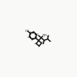 CC(C)C(C)C(C)(N)C1(c2ccc(Cl)cc2)CCC1